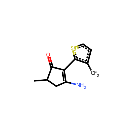 CC1CC(N)=C(c2sccc2C(F)(F)F)C1=O